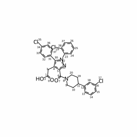 O=C(O)Cc1c(C(=O)N2CCC(c3cccc(Cl)c3)CC2)nn(-c2ccccc2Cl)c1-c1ccc(Cl)cc1